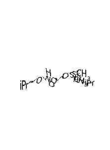 CC(C)/C=C/COCCNC(=O)OCCOCSSC(C)(C)CNC(C)C